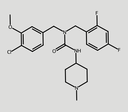 COc1cc(CN(Cc2ccc(F)cc2F)C(=O)NC2CCN(C)CC2)ccc1Cl